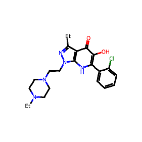 CCc1nn(CCN2CCN(CC)CC2)c2[nH]c(-c3ccccc3Cl)c(O)c(=O)c12